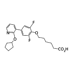 O=C(O)CCCCCOc1c(F)cc(-c2cccnc2OC2CCCC2)cc1F